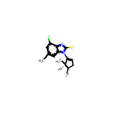 Cc1cc(Cl)c2nc(S)n(C3=CCC(C(C)C)[C@]3(C)C(C)C)c2c1